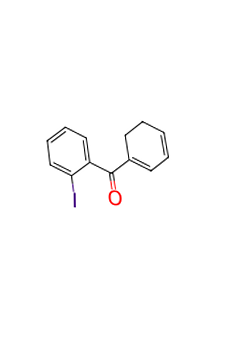 O=C(C1=CC=CCC1)c1ccccc1I